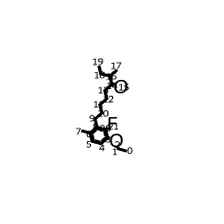 CCOc1ccc(C)c(CCCCCC(=O)C(C)CC)c1F